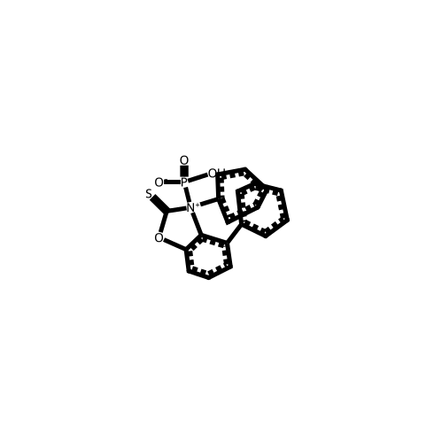 O=P([O-])(O)[N+]1(c2ccccc2)C(=S)Oc2cccc(-c3ccccc3)c21